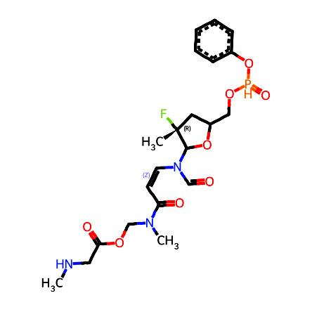 CNCC(=O)OCN(C)C(=O)/C=C\N(C=O)C1OC(CO[PH](=O)Oc2ccccc2)C[C@@]1(C)F